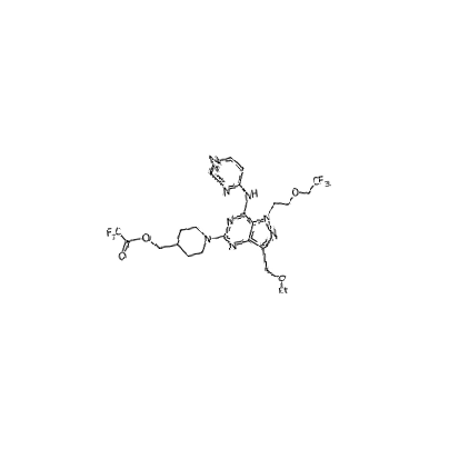 CCOCc1nn(CCOCC(F)(F)F)c2c(Nc3ccncn3)nc(N3CCC(COC(=O)C(F)(F)F)CC3)nc12